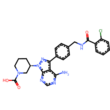 Nc1ncnc2c1c(-c1ccc(CNC(=O)c3ccccc3Cl)cc1)nn2[C@@H]1CCCN(C(=O)O)C1